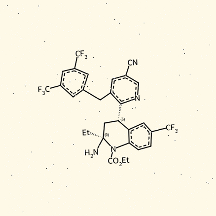 CCOC(=O)N1c2ccc(C(F)(F)F)cc2[C@@H](c2ncc(C#N)cc2Cc2cc(C(F)(F)F)cc(C(F)(F)F)c2)C[C@@]1(N)CC